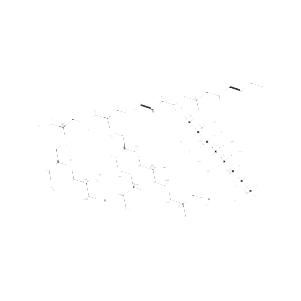 CC/C=C/CCC(CCC/C=C/OCC(COCC(CO)OCC(CO)OCC(O)CO)OCC(COCC(O)CCO)OCC(O)COCC(C)CO)SC(F)(F)C(F)(F)C(F)(F)C(F)(F)C(F)(F)C(F)(F)C(F)(F)C(F)(F)F